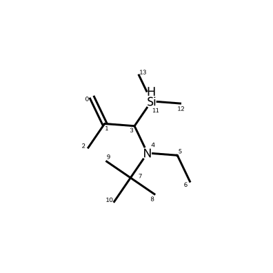 C=C(C)C(N(CC)C(C)(C)C)[SiH](C)C